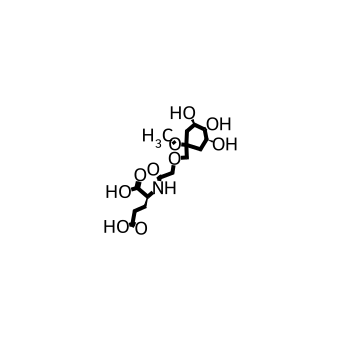 COC1(COCC(=O)N[C@@H](CCC(=O)O)C(=O)O)C[C@@H](O)C(O)[C@H](O)C1